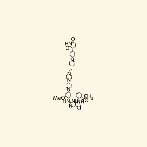 COc1cc(N2CCC(N3CCN(CCC4CCN(c5ccc(C6CCC(=O)NC6=O)cc5)CC4)CC3)CC2)ccc1Nc1ncc(Cl)c(Nc2ccccc2P(C)(C)=O)n1